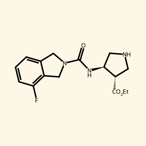 CCOC(=O)[C@H]1CNC[C@@H]1NC(=O)N1Cc2cccc(F)c2C1